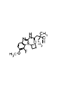 COc1ccc2nc(NC(=O)CC(C)(C)O)n(C3CCC3)c2c1F